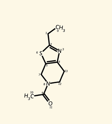 CCc1nc2c(s1)CN(C(C)=O)CC2